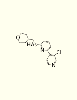 Clc1cnccc1-c1cccc([AsH]CC2CCOCC2)n1